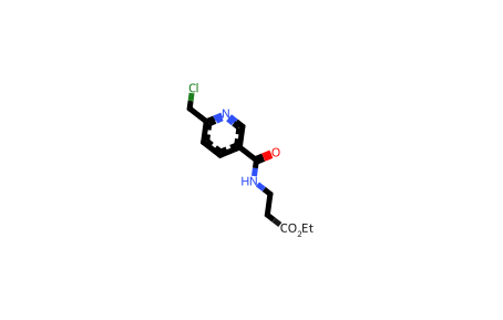 CCOC(=O)CCNC(=O)c1ccc(CCl)nc1